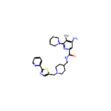 N#Cc1c(N)cc(C(=O)NCC2CCN(Cc3cnc(-c4ccccn4)s3)CC2)nc1N1CCCCC1